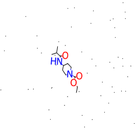 CCOC(=O)N1CCC(NC(=O)C(C)C)CC1